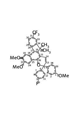 COc1ccc(C2(c3ccc(F)cc3)C=Cc3c4c(c5cc(OC)c(OC)cc5c3O2)-c2ccc(C(F)(F)F)cc2C4(C)C)cc1